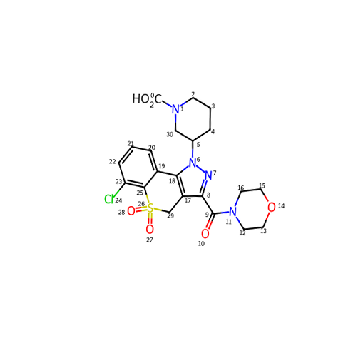 O=C(O)N1CCCC(n2nc(C(=O)N3CCOCC3)c3c2-c2cccc(Cl)c2S(=O)(=O)C3)C1